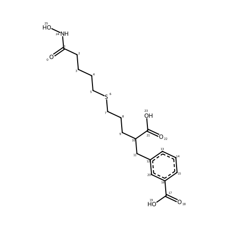 O=C(CCCCSCCCC(Cc1cccc(C(=O)O)c1)C(=O)O)NO